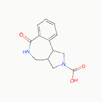 O=C1NCC2CN(C(=O)O)CC2c2ccccc21